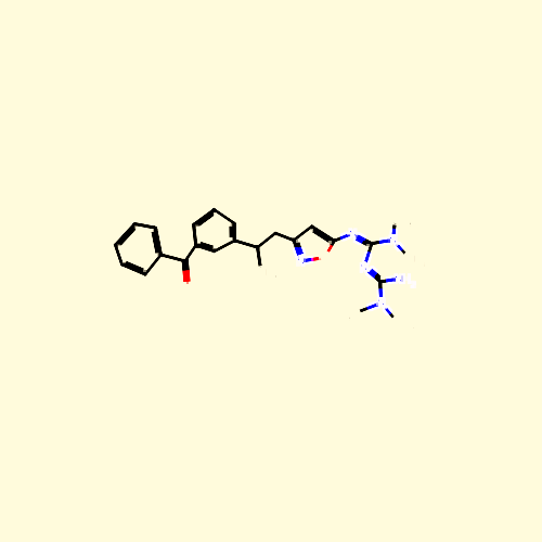 CC(Cc1cc(N=C(N=C(N)N(C)C)N(C)C)on1)c1cccc(C(=O)c2ccccc2)c1